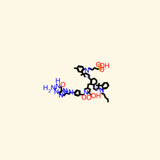 CCCCCN1/C(=C/C=C2\CCCC(/C=C/C3=[N+](CCCCS(=O)(=O)O)c4ccc(C)cc4C3(C)C)=C2CC2C[C@@H](C(=O)O)N(C(=O)c3ccc(NCc4cnc5nc(N)[nH]c(=O)c5n4)cc3)C2)C(C)(C)c2ccccc21